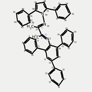 CC(=N\c1c(-c2ccccc2)cc(-c2ccccc2)cc1-c1ccccc1)/C(C)=N/n1c(-c2ccccc2)ccc1-c1ccccc1